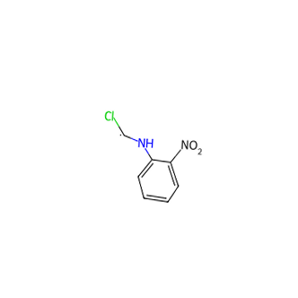 O=[N+]([O-])c1ccccc1N[CH]Cl